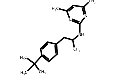 Cc1cc(C)nc(NC(C)Cc2ccc(C(C)(C)C)cc2)n1